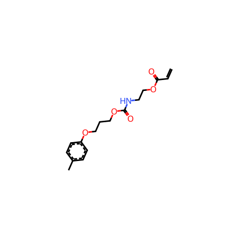 C=CC(=O)OCCNC(=O)OCCCOc1ccc(C)cc1